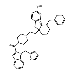 COc1ccc(CC2(CCN3CCC(C(=O)c4nc5ccccc5n4Cc4ccco4)CC3)CCCN(Cc3ccccc3)C2=O)cc1